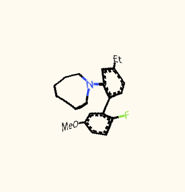 CCc1ccc(-c2cc(OC)ccc2F)c(N2CCCCCC2)c1